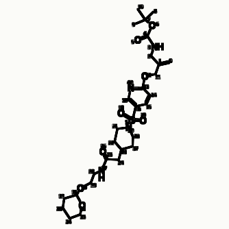 C=C(CNC(=O)OC(C)(C)C)COc1ccc(S(=O)(=O)N2CCC(CC(=O)NCCOC3CCCCO3)CC2)cn1